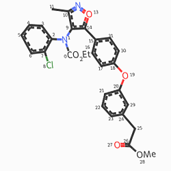 CCOC(=O)N(c1ccccc1Cl)c1c(C)noc1-c1ccc(Oc2cccc(CC(=O)OC)c2)cc1